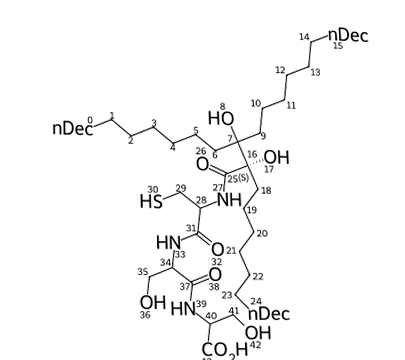 CCCCCCCCCCCCCCCCC(O)(CCCCCCCCCCCCCCCC)[C@@](O)(CCCCCCCCCCCCCCCC)C(=O)NC(CS)C(=O)NC(CO)C(=O)NC(CO)C(=O)O